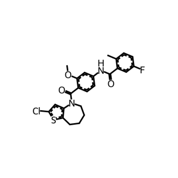 COc1cc(NC(=O)c2cc(F)ccc2C)ccc1C(=O)N1CCCCc2sc(Cl)cc21